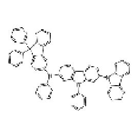 c1ccc(N(c2ccc3c(c2)-c2ccccc2C3(c2ccccc2)c2ccccc2)c2ccc3c4ccc(-n5c6ccccc6c6ccccc65)cc4n(-c4ccccc4)c3c2)cc1